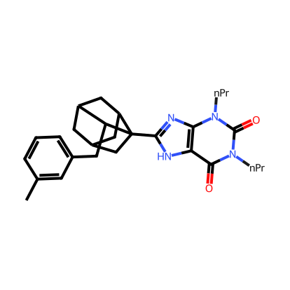 CCCn1c(=O)c2[nH]c(C34CC5CC(CC3C5)C4Cc3cccc(C)c3)nc2n(CCC)c1=O